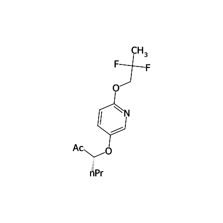 CCC[C@@H](Oc1ccc(OCC(C)(F)F)nc1)C(C)=O